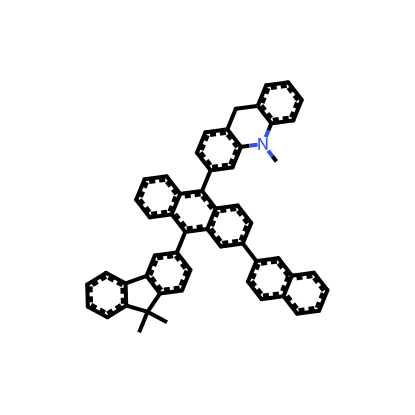 CN1c2ccccc2Cc2ccc(-c3c4ccccc4c(-c4ccc5c(c4)-c4ccccc4C5(C)C)c4cc(-c5ccc6ccccc6c5)ccc34)cc21